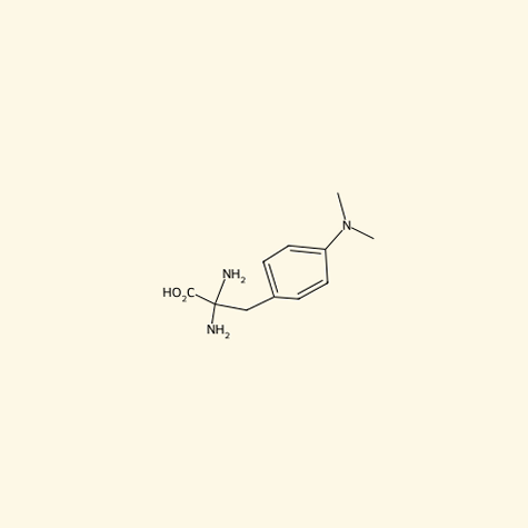 CN(C)c1ccc(CC(N)(N)C(=O)O)cc1